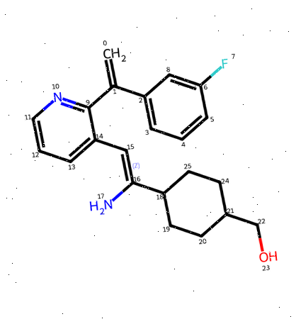 C=C(c1cccc(F)c1)c1ncccc1/C=C(\N)C1CCC(CO)CC1